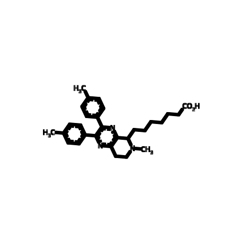 Cc1ccc(-c2nc3c(nc2-c2ccc(C)cc2)C(CCCCCCC(=O)O)N(C)CC3)cc1